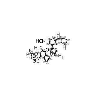 Cc1nc(Oc2c(C)cc(NS(=O)(=O)CC(F)(F)F)c3ccccc23)c(-c2ccnc(N[C@H]3CCCNC3)n2)s1.Cl